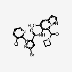 Cc1cc2ccnn2c(C(=O)N2CCC2)c1NC(=O)c1cc(Br)nn1-c1ncccc1Cl